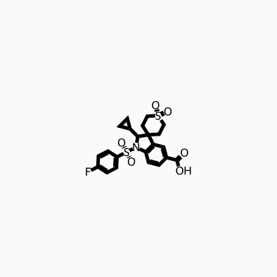 O=C(O)c1ccc2c(c1)C1(CCS(=O)(=O)CC1)C(C1CC1)N2S(=O)(=O)c1ccc(F)cc1